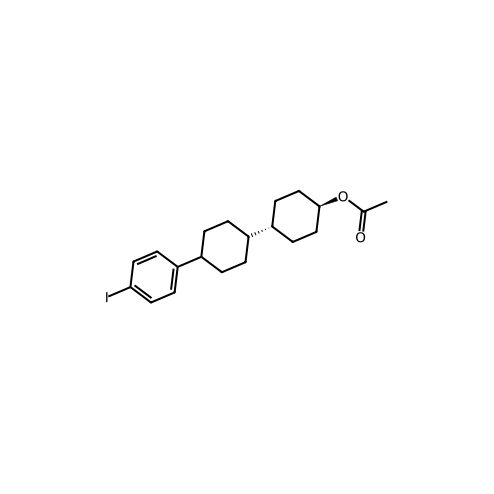 CC(=O)O[C@H]1CC[C@H](C2CCC(c3ccc(I)cc3)CC2)CC1